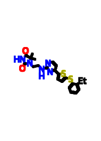 CCc1ccccc1Sc1ccc(-c2ccnc(NCCN3C(=O)NC(=O)C3(C)C)n2)s1